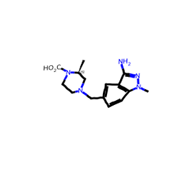 C[C@H]1CN(Cc2ccc3c(c2)c(N)nn3C)CCN1C(=O)O